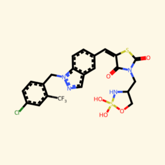 O=C1SC(=Cc2ccc3c(cnn3Cc3ccc(Cl)cc3C(F)(F)F)c2)C(=O)N1CC1COS(O)(O)N1